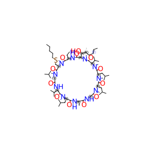 C/C=C/C[C@@H](C)[C@@H](O)[C@@H]1C(=O)N[C@H](CC)C(=O)N(C)[C@H](CSCCCCC)C(=O)N(C)[C@@H](CC(C)C)C(=O)N[C@H](C(C)C)C(=O)N(C)[C@H](CC(C)C)C(=O)N[C@H](C)C(=O)N[C@@H](C)C(=O)N(C)[C@H](CC(C)C)C(=O)N(C)[C@H](CC(C)C)C(=O)N(C)[C@H](C(C)C)C(=O)N1C